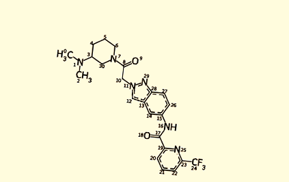 CN(C)C1CCCN(C(=O)Cn2cc3cc(NC(=O)c4cccc(C(F)(F)F)n4)ccc3n2)C1